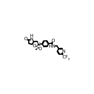 CS(=O)(=O)N(CC1CCC(=O)N1)c1ccc(C(=O)NCc2ccc(C(F)(F)F)nc2)cc1